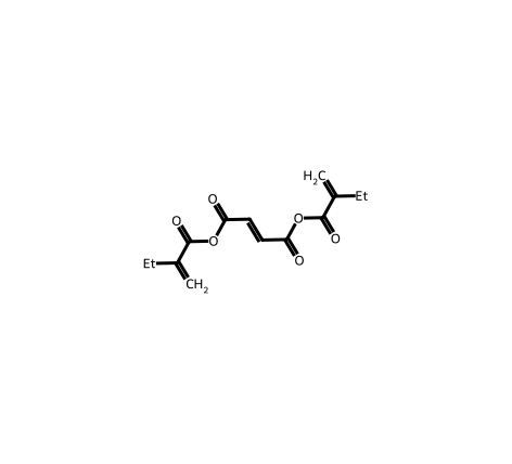 C=C(CC)C(=O)OC(=O)/C=C/C(=O)OC(=O)C(=C)CC